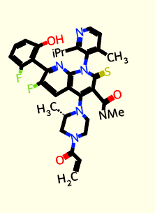 C=CC(=O)N1CCN(c2c(C(=O)NC)c(=S)n(-c3c(C)ccnc3C(C)C)c3nc(-c4c(O)cccc4F)c(F)cc23)[C@@H](C)C1